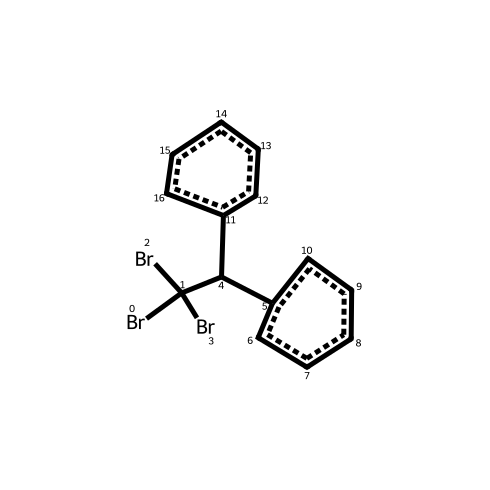 BrC(Br)(Br)C(c1ccccc1)c1ccccc1